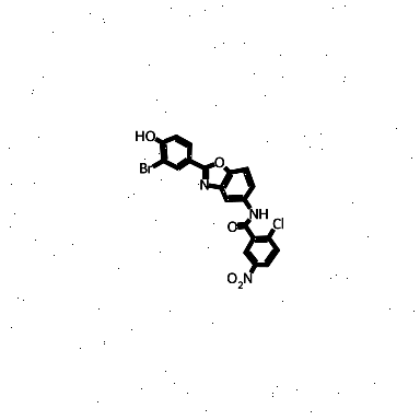 O=C(Nc1ccc2oc(-c3ccc(O)c(Br)c3)nc2c1)c1cc([N+](=O)[O-])ccc1Cl